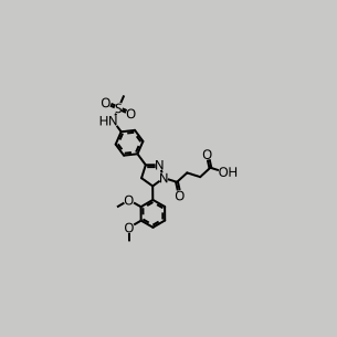 COc1cccc(C2CC(c3ccc(NS(C)(=O)=O)cc3)=NN2C(=O)CCC(=O)O)c1OC